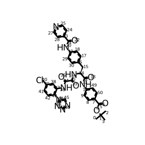 CC(C)(C)OC(=O)c1ccc(NC(=O)[C@H](Cc2ccc(NC(=O)c3ccncc3)cc2)NC(=O)C(=O)Nc2cc(Cl)ccc2-n2cnnn2)cc1